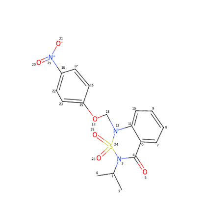 CC(C)N1C(=O)c2ccccc2N(COc2ccc([N+](=O)[O-])cc2)S1(=O)=O